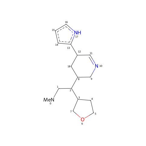 CNCC(C1CCOC1)C1CN=CC(c2ccc[nH]2)C1